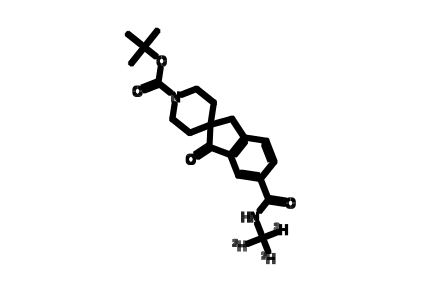 [2H]C([2H])([2H])NC(=O)c1ccc2c(c1)C(=O)C1(CCN(C(=O)OC(C)(C)C)CC1)C2